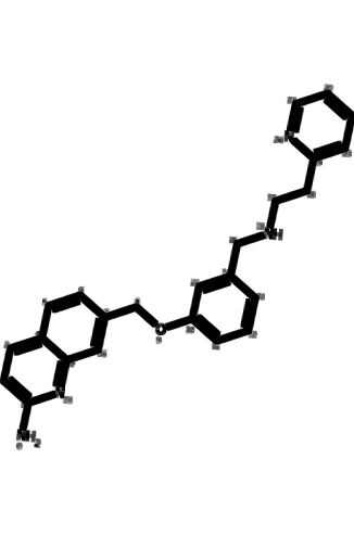 Nc1ccc2ccc(COc3cccc(CNCCc4ccccn4)c3)cc2n1